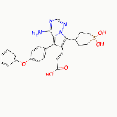 Nc1ncnn2c(C3CCS(O)(O)CC3)c(C=CC(=O)O)c(-c3ccc(Oc4ccccc4)cc3)c12